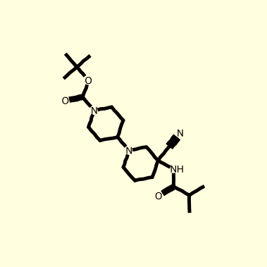 CC(C)C(=O)NC1(C#N)CCCN(C2CCN(C(=O)OC(C)(C)C)CC2)C1